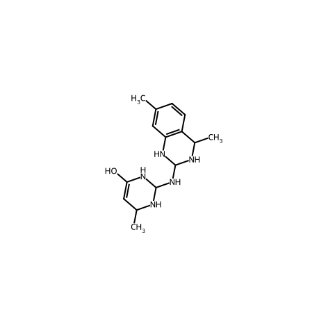 Cc1ccc2c(c1)NC(NC1NC(O)=CC(C)N1)NC2C